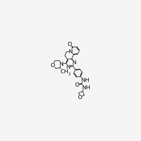 C[C@H]1COCCN1c1nc(-c2ccc(NC(=O)NC3COC3)cc2)nc2c1CCn1c-2cccc1=O